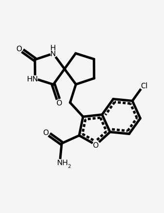 NC(=O)c1oc2ccc(Cl)cc2c1CC1CCCC12NC(=O)NC2=O